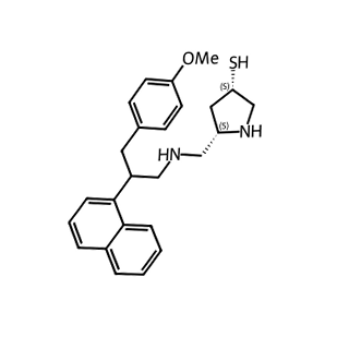 COc1ccc(CC(CNC[C@@H]2C[C@H](S)CN2)c2cccc3ccccc23)cc1